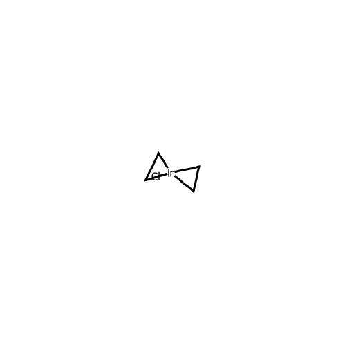 [Cl][Ir]12([CH2][CH2]1)[CH2][CH2]2